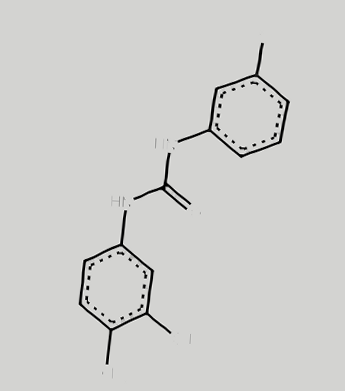 Cc1ccc(NC(=O)Nc2cccc(Cl)c2)cc1C